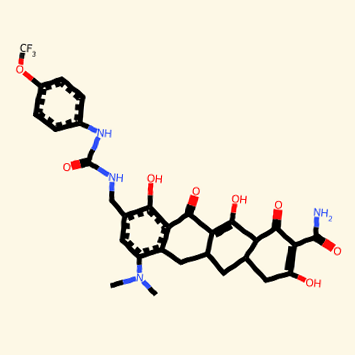 CN(C)c1cc(CNC(=O)Nc2ccc(OC(F)(F)F)cc2)c(O)c2c1CC1CC3CC(O)=C(C(N)=O)C(=O)C3C(O)=C1C2=O